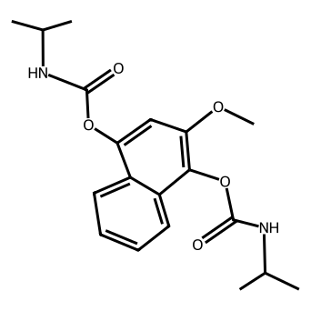 COc1cc(OC(=O)NC(C)C)c2ccccc2c1OC(=O)NC(C)C